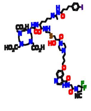 C/C(=N\CCCCC(NC(=O)CN1CCN(CC(=O)O)CCN(CC(=O)O)CCN(CC(=O)O)CC1)C(=O)NCCSC[C@@H](O)C(=O)N1CCN(CCCCOc2ccc3nccc(C(=O)NCC(=O)N4CC(F)(F)C[C@@H]4C#N)c3c2)CC1)NC(=O)CCCc1ccc(I)cc1